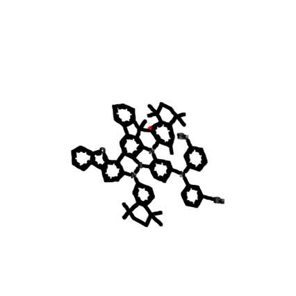 Cc1cc2c(cc1N1c3cc(N(c4cccc(C(C)(C)C)c4)c4cccc(C(C)(C)C)c4)ccc3B3c4c(cc5c(c41)C(C)(C)c1ccccc1-5)-c1c(ccc4c1oc1ccccc14)N3c1ccc3c(c1)C(C)(C)CCC3(C)C)C(C)(C)CCC2(C)C